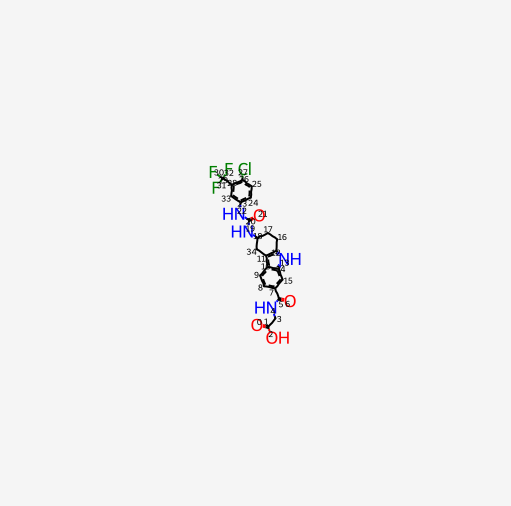 O=C(O)CNC(=O)c1ccc2c3c([nH]c2c1)CCC(NC(=O)Nc1ccc(Cl)c(C(F)(F)F)c1)C3